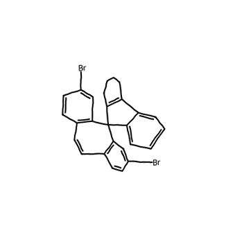 Brc1ccc2c(c1)C1(C3=C(CCCC3)c3ccccc31)c1cc(Br)ccc1C=C2